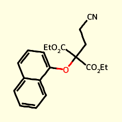 CCOC(=O)C(CCC#N)(Oc1cccc2ccccc12)C(=O)OCC